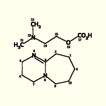 C1CCC2=NCCCN2CC1.CN(C)CCOC(=O)O